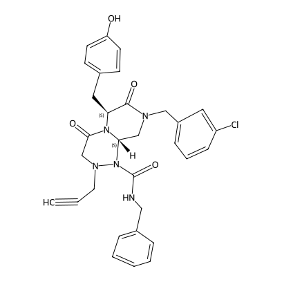 C#CCN1CC(=O)N2[C@@H](Cc3ccc(O)cc3)C(=O)N(Cc3cccc(Cl)c3)C[C@@H]2N1C(=O)NCc1ccccc1